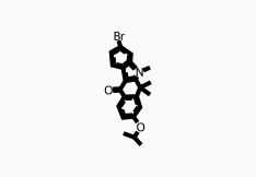 CC(C)Oc1ccc2c(c1)C(C)(C)c1c(c3ccc(Br)cc3n1C)C2=O